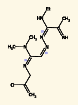 C=C(Cl)C\N=C(/C=N\N=C(\NCC)C(C)=N)N(C)C